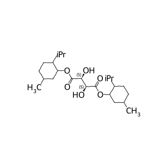 CC1CCC(C(C)C)C(OC(=O)[C@@H](O)[C@H](O)C(=O)OC2CC(C)CCC2C(C)C)C1